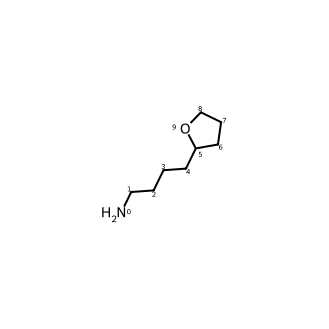 NCCCCC1CCCO1